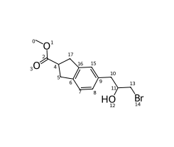 COC(=O)C1Cc2ccc(CC(O)CBr)cc2C1